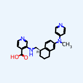 CN(c1ccncc1)c1ccc2c(c1)CCC[C@H]2CNc1cnccc1C(=O)O